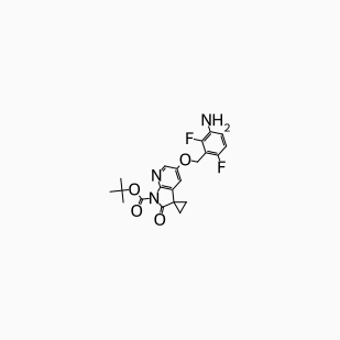 CC(C)(C)OC(=O)N1C(=O)C2(CC2)c2cc(OCc3c(F)ccc(N)c3F)cnc21